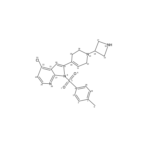 Cc1ccc(S(=O)(=O)n2c(C3=CCN(C4CNC4)CC3)cc3c(Cl)ccnc32)cc1